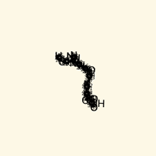 Nc1ncnc2c1c(-c1ccc(Oc3ccccc3)cc1)nn2C1CCN(C2CCN(C(=O)N3CCC(CCN4CCC(c5ccc6c(c5)CN(C5CCC(=O)NC5=O)C6=O)CC4)CC3)CC2)CC1